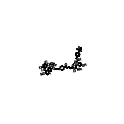 COc1cc(Nc2c(C#N)cnc3cc(OCCCN4CCN(C(=O)CCCC(=O)N[C@H](C(=O)N5C[C@H](O)C[C@H]5C(=O)NCc5ccc(-c6scnc6C)cc5)C(C)(C)C)CC4)c(OC)cc23)c(Cl)cc1Cl